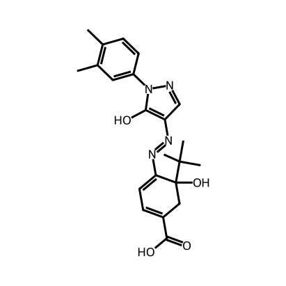 Cc1ccc(-n2ncc(N=NC3=CC=C(C(=O)O)CC3(O)C(C)(C)C)c2O)cc1C